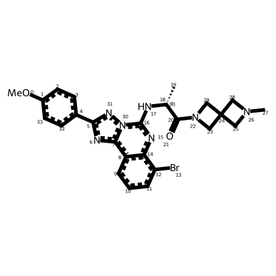 COc1ccc(-c2nc3c4cccc(Br)c4nc(N[C@H](C)C(=O)N4CC5(CN(C)C5)C4)n3n2)cc1